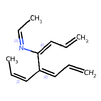 C=C/C=C(/C=C\C)C(=C/C=C)\N=C/C